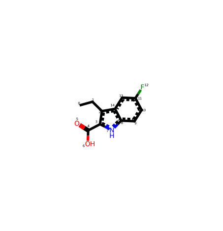 CCc1c(C(=O)O)[nH]c2ccc(F)cc12